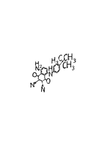 CC(C)(C)c1ccc(Nc2ccc(N)c3c2C(=O)C(C#N)=C(C#N)C3=O)cc1